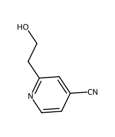 N#Cc1ccnc(CCO)c1